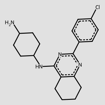 NC1CCC(Nc2nc(-c3ccc(Cl)cc3)nc3c2CCCC3)CC1